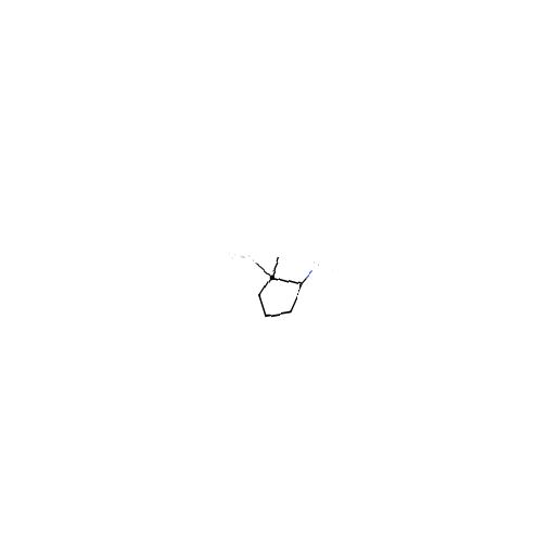 CNC1(C)CCCC1N